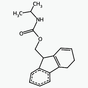 CC(C)NC(=O)OCC1C2=C(CCC=C2)c2ccccc21